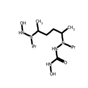 CC(C)N(NO)C(C)CCC(C)N(NC(=O)NO)C(C)C